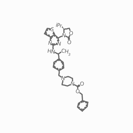 CC(Nc1nc(N2C(=O)OC[C@@H]2C(C)C)c2sccc2n1)c1ccc(CN2CCN(C(=O)OCc3ccccc3)CC2)cc1